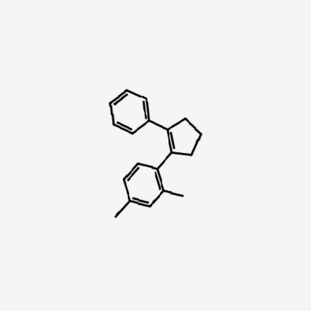 Cc1ccc(C2=C(c3ccccc3)CCC2)c(C)c1